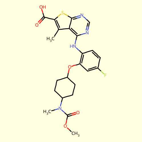 COC(=O)N(C)C1CCC(Oc2cc(F)ccc2Nc2ncnc3sc(C(=O)O)c(C)c23)CC1